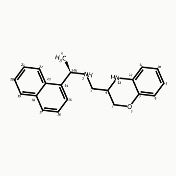 C[C@@H](NCC1COc2ccccc2N1)c1cccc2ccccc12